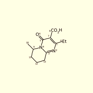 CCc1nc2n(c(=O)c1C(=O)O)C(C)CCC2